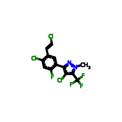 Cn1nc(-c2cc(C=CCl)c(Cl)cc2F)c(Cl)c1C(F)(F)F